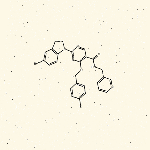 O=C(NCc1cccnc1)c1cnc(N2CCc3cc(Br)ccc32)nc1OCc1ccc(Br)cc1